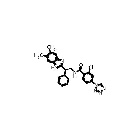 Cc1cc2nc([C@@H](CNC(=O)c3ccc(-n4cnnn4)cc3Cl)C3C=CC=CC3)[nH]c2cc1C